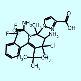 CC(C)(C)C1=C(c2ccccc2C(F)(F)F)N(C(N)=O)C(C)(n2ccc(C(=O)O)n2)C(N)C1(Cl)Cl